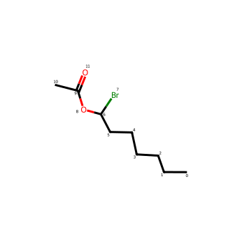 CCCCCCC(Br)OC(C)=O